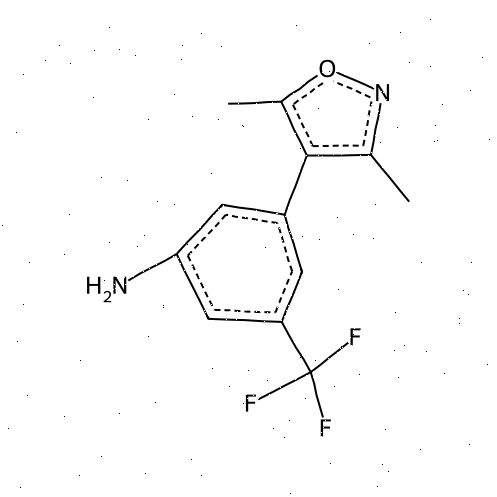 Cc1noc(C)c1-c1cc(N)cc(C(F)(F)F)c1